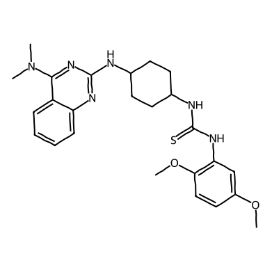 COc1ccc(OC)c(NC(=S)NC2CCC(Nc3nc(N(C)C)c4ccccc4n3)CC2)c1